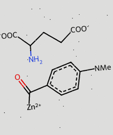 CNc1ccc([C](=O)[Zn+2])cc1.NC(CCC(=O)[O-])C(=O)[O-]